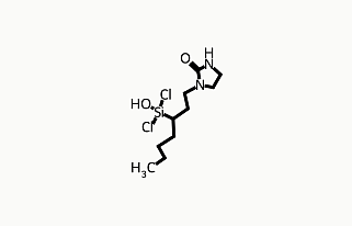 CCCCC(CCN1CCNC1=O)[Si](O)(Cl)Cl